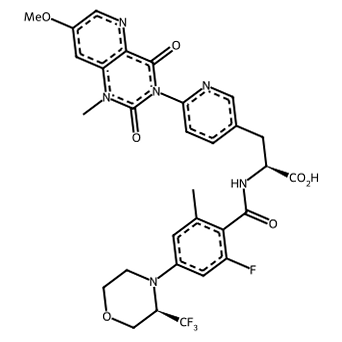 COc1cnc2c(=O)n(-c3ccc(C[C@H](NC(=O)c4c(C)cc(N5CCOC[C@@H]5C(F)(F)F)cc4F)C(=O)O)cn3)c(=O)n(C)c2c1